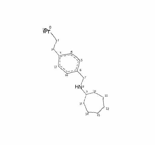 CC(C)CCc1ccc(CNC2CCCCCC2)cc1